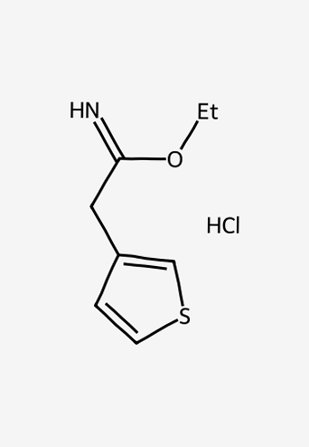 CCOC(=N)Cc1ccsc1.Cl